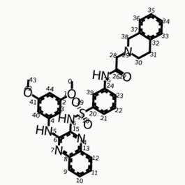 COc1cc(Nc2nc3ccccc3nc2NS(=O)(=O)c2cccc(NC(=O)CN3CCc4ccccc4C3)c2)cc(OC)c1